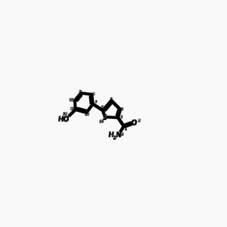 NC(=O)c1ccc(-c2cccc(O)c2)s1